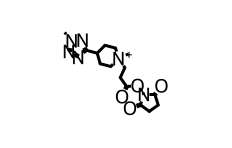 Cn1nnc(C2CC[N+](C)(CCC(=O)ON3C(=O)CCC3=O)CC2)n1